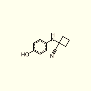 N#CC1(Nc2ccc(O)cc2)CCC1